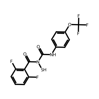 O=C(Nc1ccc(OC(F)(F)F)cc1)N(S)C(=O)c1c(F)cccc1F